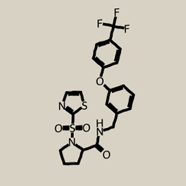 O=C(NCc1cccc(Oc2ccc(C(F)(F)F)cc2)c1)C1CCCN1S(=O)(=O)c1nccs1